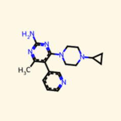 Cc1nc(N)nc(N2CCN(C3CC3)CC2)c1-c1cccnc1